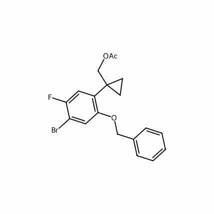 CC(=O)OCC1(c2cc(F)c(Br)cc2OCc2ccccc2)CC1